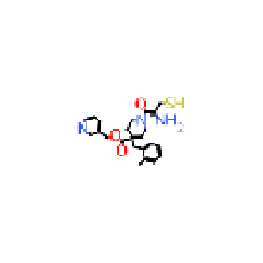 Cc1ccccc1CC1(C(=O)OCc2cccnc2)CCN(C(=O)[C@@H](N)CS)CC1